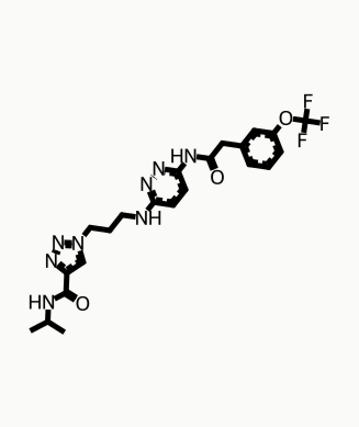 CC(C)NC(=O)c1cn(CCCNc2ccc(NC(=O)Cc3cccc(OC(F)(F)F)c3)nn2)nn1